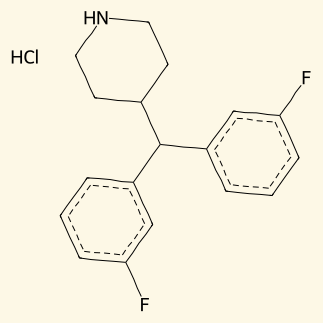 Cl.Fc1cccc(C(c2cccc(F)c2)C2CCNCC2)c1